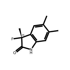 Cc1cc2c(cc1C)[C@@](C)(F)C(=O)N2